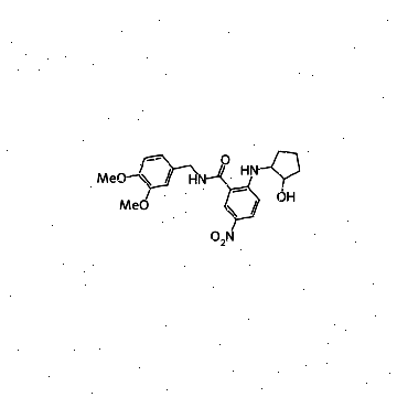 COc1ccc(CNC(=O)c2cc([N+](=O)[O-])ccc2NC2CCCC2O)cc1OC